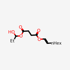 CCCCCCC=COC(=O)CCC(=O)OC(O)CC